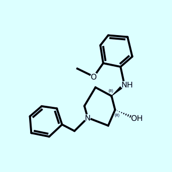 COc1ccccc1N[C@@H]1CCN(Cc2ccccc2)C[C@H]1O